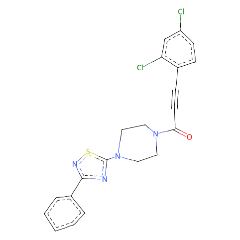 O=C(C#Cc1ccc(Cl)cc1Cl)N1CCN(c2nc(-c3ccccc3)ns2)CC1